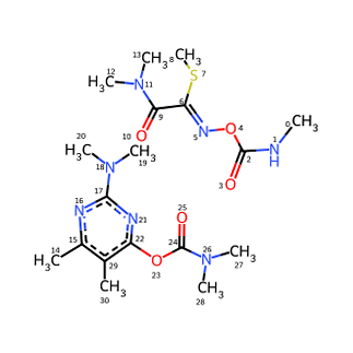 CNC(=O)ON=C(SC)C(=O)N(C)C.Cc1nc(N(C)C)nc(OC(=O)N(C)C)c1C